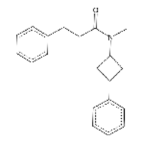 CN(C(=O)CCc1ccccc1)C1CC(c2ccccc2)C1